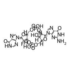 Nc1nc2c(ncn2[C@@H]2O[C@@H]3COP(=O)(O)O[C@H]4[C@H](F)[C@H](n5cnc6c(=O)[nH]cnc65)O[C@@H]4COP(=O)(O)O[C@@H]2[C@@H]3O)c(=O)[nH]1